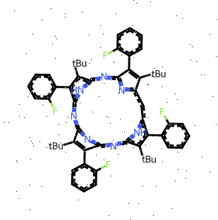 CC(C)(C)C1=C(c2ccccc2F)c2nc1cc1[nH]c(nc3nc(nc4[nH]c(n2)c(C(C)(C)C)c4-c2ccccc2F)C(C(C)(C)C)=C3c2ccccc2F)c(C(C)(C)C)c1-c1ccccc1F